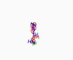 CN1CCOc2ncc(S(=O)(=O)N3CCC4(CC3)C[C@@H](NCC(O)COc3cccc(S(=O)(=O)NCC(F)F)c3)CO4)cc21